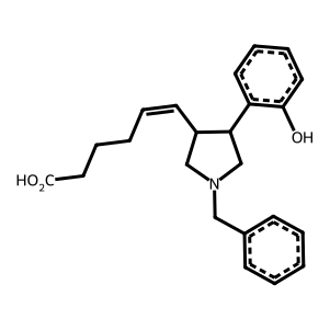 O=C(O)CCC/C=C\C1CN(Cc2ccccc2)CC1c1ccccc1O